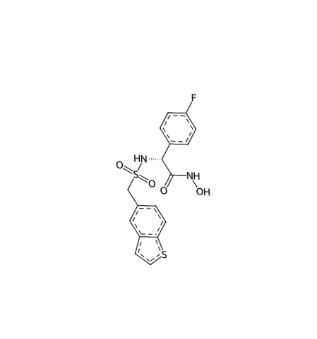 O=C(NO)[C@H](NS(=O)(=O)Cc1ccc2sccc2c1)c1ccc(F)cc1